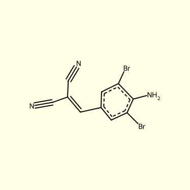 N#CC(C#N)=Cc1cc(Br)c(N)c(Br)c1